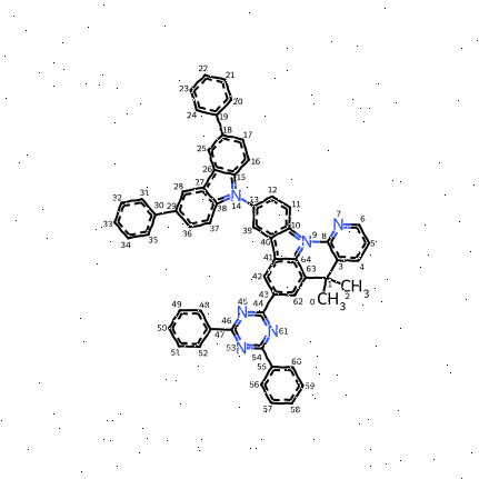 CC1(C)c2cccnc2-n2c3ccc(-n4c5ccc(-c6ccccc6)cc5c5cc(-c6ccccc6)ccc54)cc3c3cc(-c4nc(-c5ccccc5)nc(-c5ccccc5)n4)cc1c32